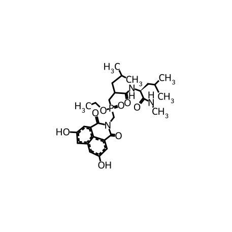 CCOP(=O)(CC(CC(C)C)C(=O)N[C@@H](CC(C)C)C(=O)NC)CN1C(=O)c2cc(O)cc3cc(O)cc(c23)C1=O